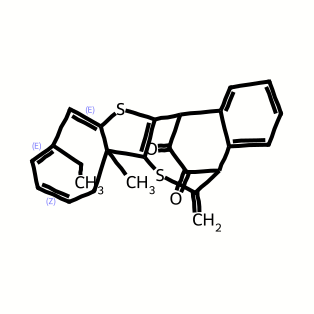 C=C1SC2=C(S/C3=C/C(CC)=C/C=C\CC23C)C2C(=O)C(=O)C1c1ccccc12